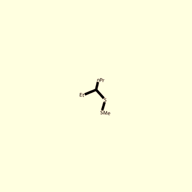 CCCC(CC)SSC